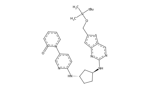 CC(C)(C)[Si](C)(C)OCc1cc2nc(N[C@H]3CC[C@H](Nc4ccc(-n5ccccc5=O)cn4)C3)ncc2s1